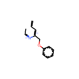 C=C/C=C(COc1ccccc1)\N=C/C